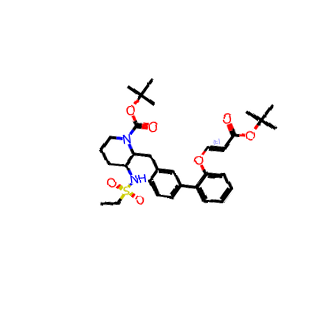 CCS(=O)(=O)NC1CCCN(C(=O)OC(C)(C)C)C1Cc1cccc(-c2ccccc2O/C=C/C(=O)OC(C)(C)C)c1